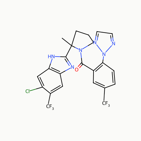 CC1(c2nc3cc(C(F)(F)F)c(Cl)cc3[nH]2)CCCN1C(=O)c1cc(C(F)(F)F)ccc1-n1nccn1